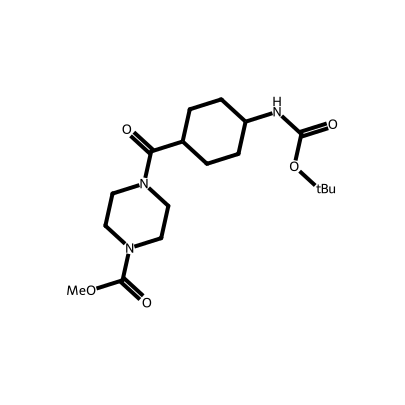 COC(=O)N1CCN(C(=O)C2CCC(NC(=O)OC(C)(C)C)CC2)CC1